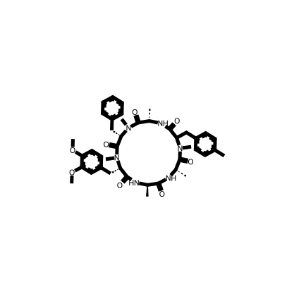 COc1ccc(C[C@H]2C(=O)N[C@H](C)C(=O)N[C@@H](C)C(=O)N(C)C(Cc3ccc(C)cc3)C(=O)N[C@@H](C)C(=O)N(C)[C@@H](Cc3ccccc3)C(=O)N2C)cc1OC